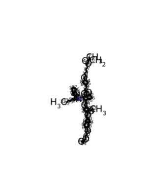 C=C(C)C(=O)OCCCCCCOc1ccc(CCC(=O)Oc2c(/C=N/N(CCCCCC)c3nc4ccccc4s3)cc(COc3ccc(OCc4ccc5cc(OCCCOC6CO6)ccc5c4)c(OC)c3)c3ccccc23)cc1